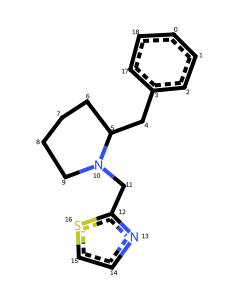 c1ccc(CC2CCCCN2Cc2nccs2)cc1